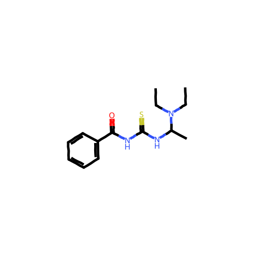 CCN(CC)C(C)NC(=S)NC(=O)c1ccccc1